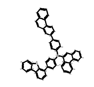 c1ccc2c(c1)ccc1cc(-c3ccc(N(c4ccc(-c5cccc6c5oc5ccccc56)cc4)c4cc5ccccc5c5ccccc45)cc3)ccc12